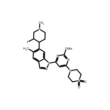 COc1nc(N2CCS(=O)(=O)CC2)cc(-n2ncc3cc(C)c(C4CCN(C)CC4F)cc32)n1